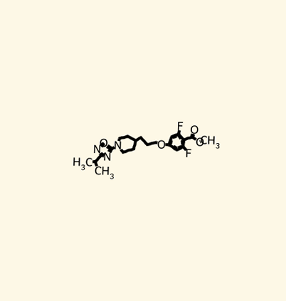 COC(=O)c1c(F)cc(OCCCC2CCN(c3nc(C(C)C)no3)CC2)cc1F